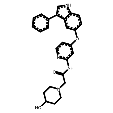 O=C(CN1CCC(O)CC1)Nc1cc(Oc2ccc3[nH]cc(-c4cc[c]cc4)c3c2)ccn1